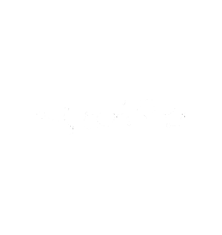 C=CC(=O)Nc1cc2c(s1)CN(S(=O)(=O)c1ccc(-c3cnco3)s1)C2